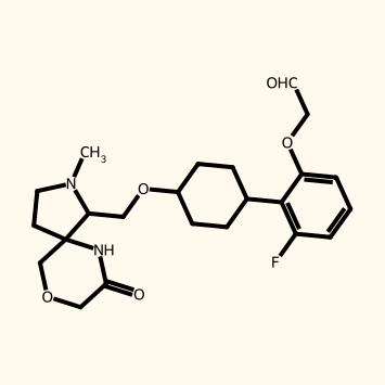 CN1CCC2(COCC(=O)N2)C1COC1CCC(c2c(F)cccc2OCC=O)CC1